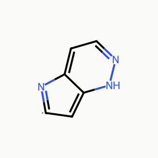 [c]1cc2[nH]nccc-2n1